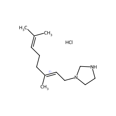 CC(C)=CCC/C(C)=C/CN1CCNC1.Cl